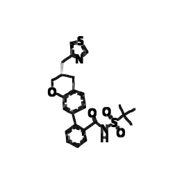 CC(C)(C)S(=O)(=O)NC(=O)c1ccccc1-c1ccc2c(c1)OC[C@H](Cc1cscn1)C2